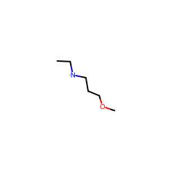 CC[N]CCCOC